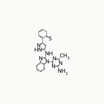 Cc1nc(N)nc(-n2c(Nc3cc(C4=CC=CCC4=S)n[nH]3)nc3ccccc32)n1